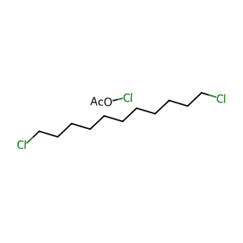 CC(=O)OCl.ClCCCCCCCCCCCCl